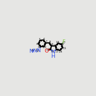 [N-]=[N+]=Nc1cccc(C=C2C(=O)Nc3ccc(F)cc32)c1